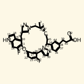 CC1(C)Cn2cc(cn2)Cc2c(c(F)cc3[nH]ccc23)Oc2ccc(F)c(c2)-c2ccnn2C(c2cccc(CCC(=O)O)c2)CCO1